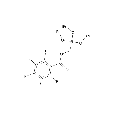 CC(C)O[Si](COC(=O)c1c(F)c(F)c(F)c(F)c1F)(OC(C)C)OC(C)C